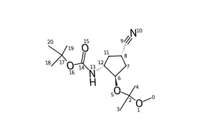 COC(C)(C)O[C@@H]1C[C@@H](C#N)C[C@H]1NC(=O)OC(C)(C)C